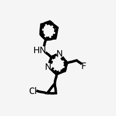 FCc1cc(C2CC2Cl)nc(Nc2ccccc2)n1